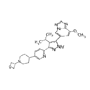 COc1cc(-c2[nH]nc(-c3ccc(C4CCN(C5COC5)CC4)cn3)c2C(C)C)cn2ncnc12